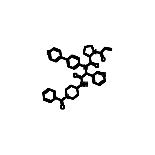 C=CC(=O)N1CCCC1C(=O)N(c1ccc(-c2ccncc2)cc1)C(C(=O)NC1CCN(C(=O)c2ccccc2)CC1)c1cccnc1